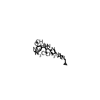 COc1cc(-c2[nH]nc(-c3ccc(N4CC5(CN(CC6CC6)C5)C4)cn3)c2C(C)C)cn2ncnc12